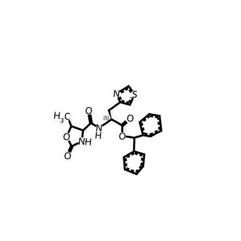 CC1OC(=O)NC1C(=O)N[C@@H](Cc1cscn1)C(=O)OC(c1ccccc1)c1ccccc1